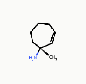 C[C@]1(N)C=CCCCC1